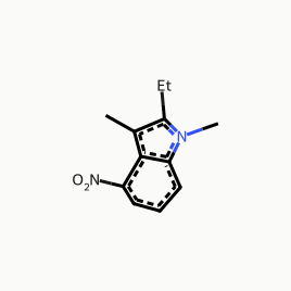 CCc1c(C)c2c([N+](=O)[O-])cccc2n1C